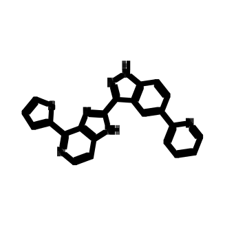 c1ccc(-c2ccc3[nH]nc(-c4nc5c(-c6cccs6)nccc5[nH]4)c3c2)nc1